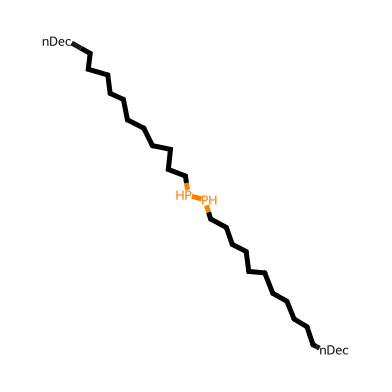 CCCCCCCCCCCCCCCCCCCCCPPCCCCCCCCCCCCCCCCCCCCC